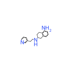 Nc1cccc2c1CCC(NCCc1cccnc1)C2